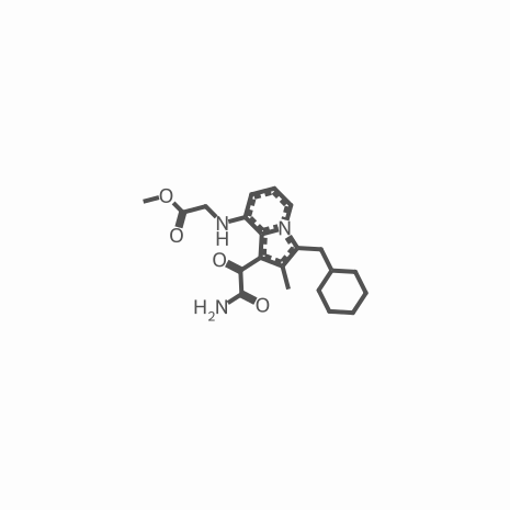 COC(=O)CNc1cccn2c(CC3CCCCC3)c(C)c(C(=O)C(N)=O)c12